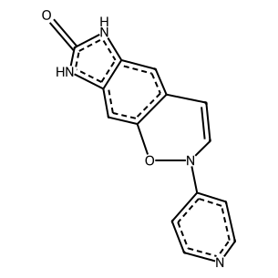 O=c1[nH]c2cc3c(cc2[nH]1)ON(c1ccncc1)C=C3